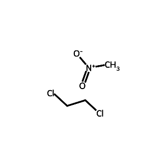 C[N+](=O)[O-].ClCCCl